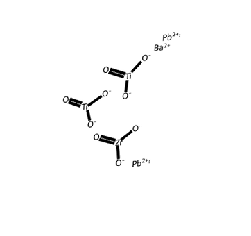 [Ba+2].[O]=[Ti]([O-])[O-].[O]=[Ti]([O-])[O-].[O]=[Zr]([O-])[O-].[Pb+2].[Pb+2]